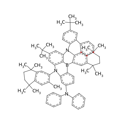 Cc1cc2c(cc1N1c3cc(N(c4ccccc4)c4ccccc4)ccc3B3c4cc5c(cc4N(c4ccc(C(C)(C)C)cc4-c4ccccc4)c4cc(C(C)(C)C)cc1c43)C(C)(C)CCC5(C)C)C(C)(C)CCC2(C)C